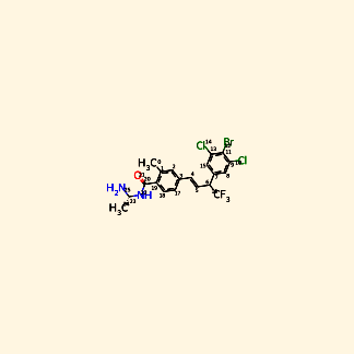 Cc1cc(/C=C/C(c2cc(Cl)c(Br)c(Cl)c2)C(F)(F)F)ccc1C(=O)N[C@H](C)N